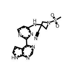 CS(=O)(=O)N1CC(C#N)(Nc2ccnc(-c3ncnc4[nH]ccc34)n2)C1